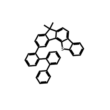 CC1(C)c2ccc(-c3ccccc3-c3ccccc3-c3ccccc3)cc2-c2c1ccc1c2sc2ccccc21